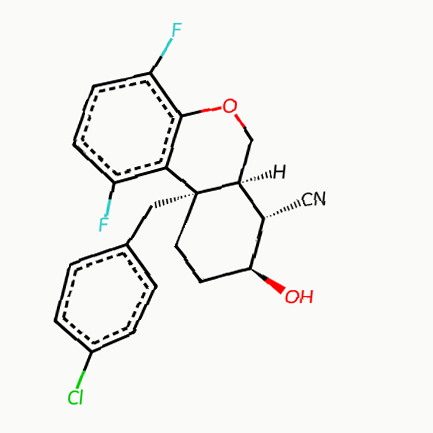 N#C[C@@H]1[C@@H](O)CC[C@@]2(Cc3ccc(Cl)cc3)c3c(F)ccc(F)c3OC[C@@H]12